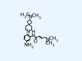 CN(C)C/C=C/C(=O)Nc1cc(N)ccc1N1CCC2(CC1)CC(N(C)C)C2